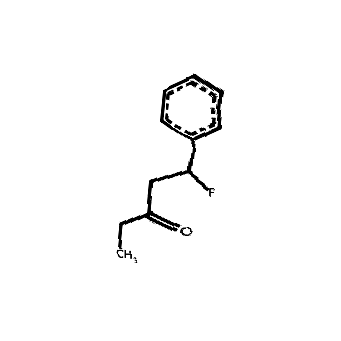 CCC(=O)CC(F)c1ccccc1